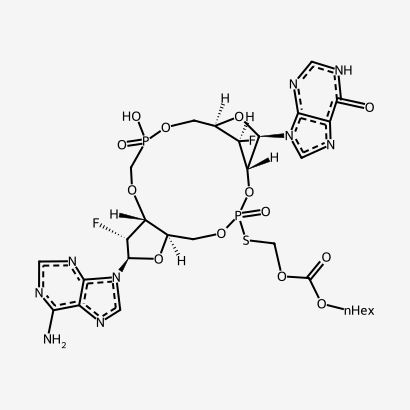 CCCCCCOC(=O)OCSP1(=O)OC[C@H]2O[C@@H](n3cnc4c(N)ncnc43)[C@H](F)[C@@H]2OCP(=O)(O)OC[C@H]2O[C@@H](n3cnc4c(=O)[nH]cnc43)[C@H](O1)[C@@H]2F